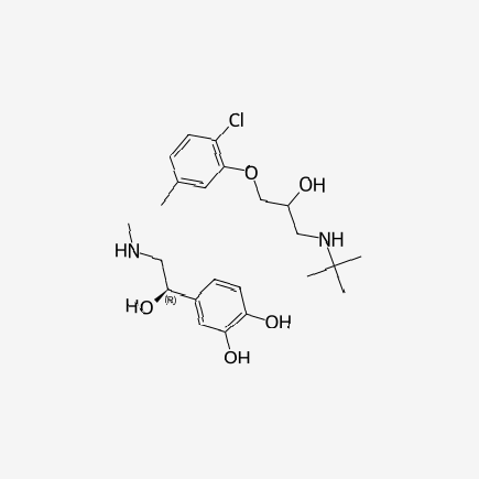 CNC[C@H](O)c1ccc(O)c(O)c1.Cc1ccc(Cl)c(OCC(O)CNC(C)(C)C)c1